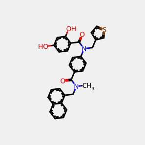 CN(Cc1cccc2ccccc12)C(=O)c1ccc(N(Cc2ccsc2)C(=O)c2ccc(O)cc2O)cc1